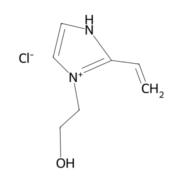 C=Cc1[nH]cc[n+]1CCO.[Cl-]